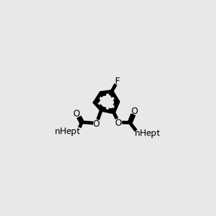 CCCCCCCC(=O)Oc1ccc(F)cc1OC(=O)CCCCCCC